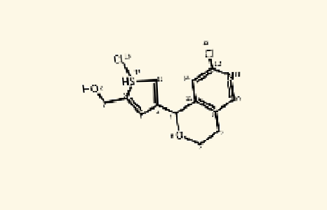 OCC1=CC(C2OCCc3cnc(Cl)cc32)=C[SH]1Cl